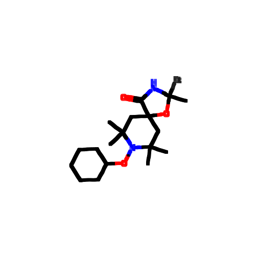 CCC1(C)NC(=O)C2(CC(C)(C)N(OC3CCCCC3)C(C)(C)C2)O1